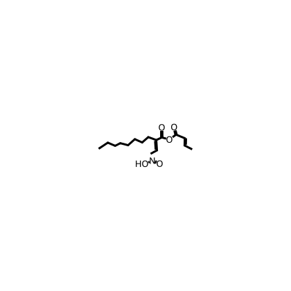 CC=CC(=O)OC(=O)C(=CC)CCCCCCCC.O=NO